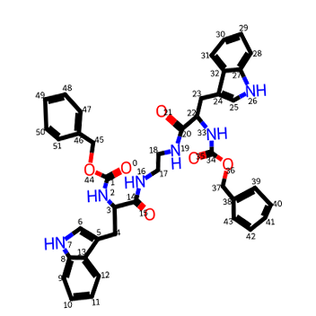 O=C(NC(Cc1c[nH]c2ccccc12)C(=O)NCCNC(=O)C(Cc1c[nH]c2ccccc12)NC(=O)OCc1ccccc1)OCc1ccccc1